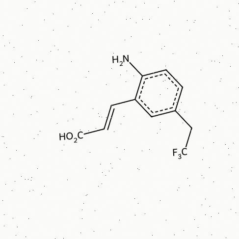 Nc1ccc(CC(F)(F)F)cc1C=CC(=O)O